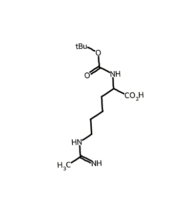 CC(=N)NCCCCC(NC(=O)OC(C)(C)C)C(=O)O